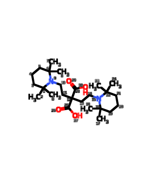 CC1(C)CCCC(C)(C)N1CCC(CCN1C(C)(C)CCCC1(C)C)(C(=O)O)C(=O)O